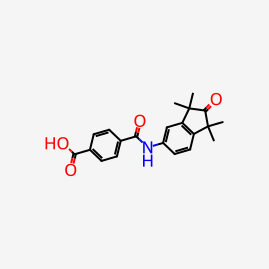 CC1(C)C(=O)C(C)(C)c2cc(NC(=O)c3ccc(C(=O)O)cc3)ccc21